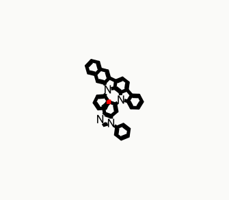 c1ccc(-n2cnc3ccc(-n4c5ccccc5c5ccc6c7cc8ccccc8cc7n(-c7ccccc7)c6c54)cc32)cc1